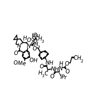 C=CCOC(=O)N[C@H](C(=O)N[C@@H](C)C(=O)Nc1ccc(COC(=O)N2c3cc(O)c(OC)cc3C(=O)N3CC4(CC4)C[C@H]3C2O[Si](C)(C)C(C)(C)C)cc1)C(C)C